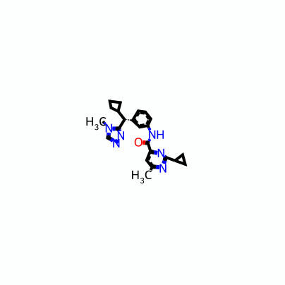 Cc1cc(C(=O)Nc2cccc([C@H](c3nncn3C)C3CCC3)c2)nc(C2CC2)n1